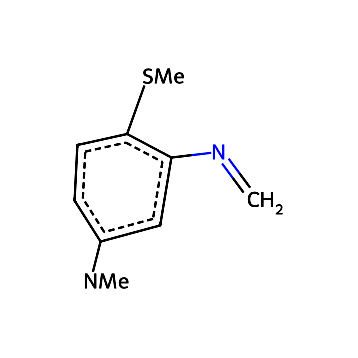 C=Nc1cc(NC)ccc1SC